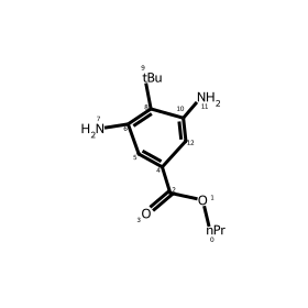 CCCOC(=O)c1cc(N)c(C(C)(C)C)c(N)c1